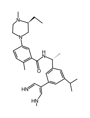 CC[C@H]1CN(c2ccc(C)c(C(=O)N[C@H](C)c3cc(/C(C=N)=C/NC)cc(C(C)C)c3)c2)CCN1C